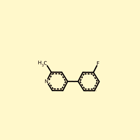 Cc1cc(-c2c[c]cc(F)c2)ccn1